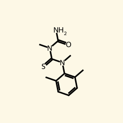 Cc1cccc(C)c1N(C)C(=S)N(C)C(N)=O